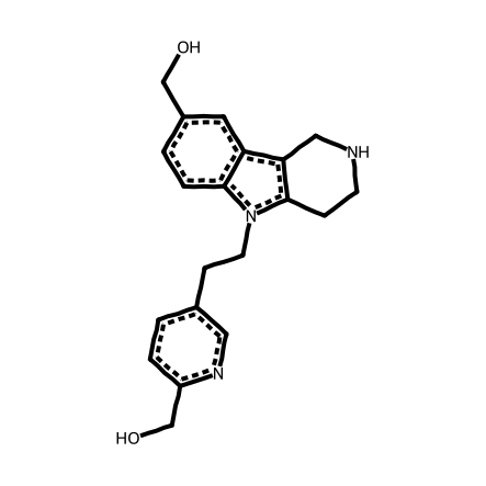 OCc1ccc2c(c1)c1c(n2CCc2ccc(CO)nc2)CCNC1